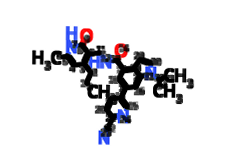 CCCc1cc(C)[nH]c(=O)c1CNC(=O)c1cc(-c2ccc(C#N)nc2)cc2c1ccn2C(C)C